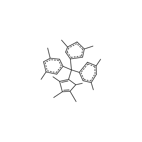 CC1=C(C)C(C)C(C(c2cc(C)cc(C)c2)(c2cc(C)cc(C)c2)c2cc(C)cc(C)c2)=C1C